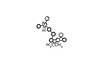 CC1(C)C2=CC3c4ccccc4C4(CCCCC4)C3C=C2c2c(-c3cccc(-c4ccc(C5C=C(C6=CC=CCC6)N=C(c6ccccc6)N5)cc4)c3)cccc21